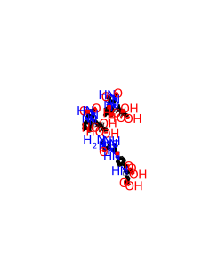 Cc1cc2nc3c(=O)[nH]c(=O)nc-3n(C[C@H](O)[C@H](O)[C@H](O)CO)c2cc1C.Cc1cc2nc3c(=O)[nH]c(=O)nc-3n(C[C@H](O)[C@H](O)[C@H](O)CO)c2cc1C.Nc1nc(=O)c2nc(CNc3ccc(C(=O)N[C@@H](CCC(=O)O)C(=O)O)cc3)cnc2[nH]1